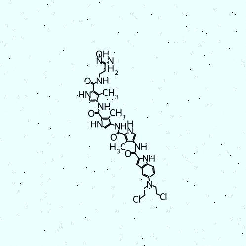 Cc1c(NC(=O)c2cc3cc(N(CCCl)CCCl)ccc3[nH]2)c[nH]c1C(=O)Nc1c[nH]c(C(=O)Nc2c[nH]c(C(=O)NCCC(N)=NO)c2C)c1C